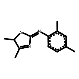 CC1=NC(=Nc2ccc(C)cc2C)SC1C